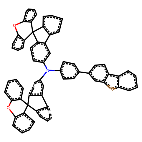 c1ccc2c(c1)Oc1ccccc1C21c2ccccc2-c2cc(N(c3ccc(-c4ccc5c(c4)sc4ccccc45)cc3)c3ccc4c(c3)-c3ccccc3C43c4ccccc4Oc4ccccc43)ccc21